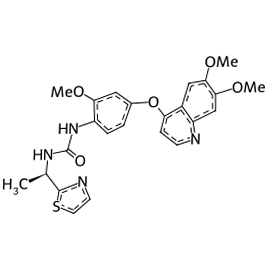 COc1cc(Oc2ccnc3cc(OC)c(OC)cc23)ccc1NC(=O)N[C@H](C)c1nccs1